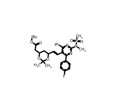 CC(C)c1nc(N(C)S(C)(=O)=O)nc(-c2ccc(F)cc2)c1/C=C/C1CC(CC(=O)OC(C)(C)C)OC(C)(C)O1